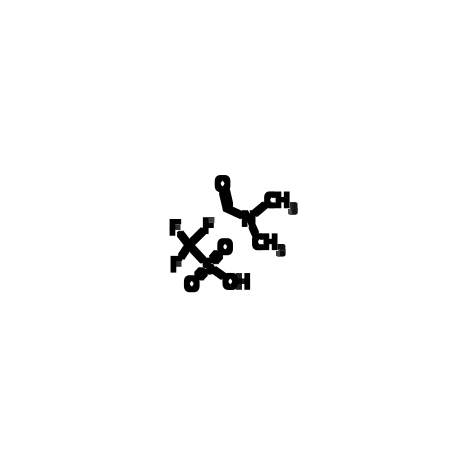 CN(C)C=O.O=S(=O)(O)C(F)(F)F